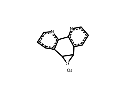 [Os].c1cnc2c(c1)C1OC1c1cccnc1-2